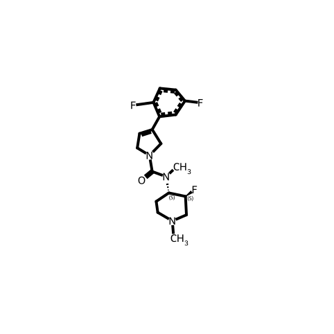 CN1CC[C@H](N(C)C(=O)N2CC=C(c3cc(F)ccc3F)C2)[C@@H](F)C1